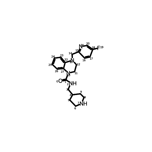 O=C(NCC1CCNCC1)N1CCN(Cc2ccc(F)cn2)c2ccccc21